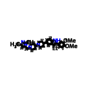 CCc1c(-c2ccc(OC)c(OC)c2)[nH]c2ccc(C3CCN(C4CCN(Cc5cc(C)nn5C)CC4)CC3)cc12